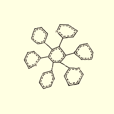 c1ccc(-c2c(-c3ccccn3)c(-c3ccccc3)c(-c3ccccn3)c(-c3ccccc3)c2-c2ccccn2)cc1